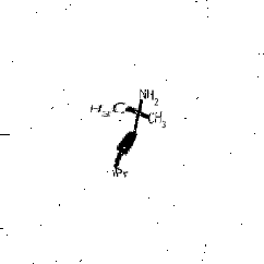 CC(C)C#CC(C)(C)N